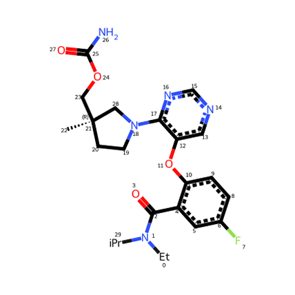 CCN(C(=O)c1cc(F)ccc1Oc1cncnc1N1CC[C@@](C)(COC(N)=O)C1)C(C)C